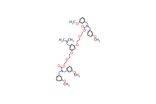 COc1cccc(CN(Cc2cccc(OC)c2)C(=O)OCCOCCOc2cc(CN(C)C)cc(OCCOCCOC(=O)N(Cc3cccc(OC)c3)Cc3cccc(OC)c3)c2)c1